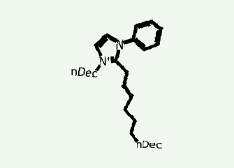 CCCCCCCCCCCCCCCCc1n(-c2ccccc2)cc[n+]1CCCCCCCCCC